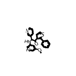 COc1cncc(NC(C(=O)c2ccsc2-c2ccccc2)c2cccnc2)c1